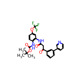 CC(C)(C)OC(=O)Nc1ccc(OC(F)(F)F)cc1NC(=O)CC(=O)c1cccc(-c2cccnc2)c1